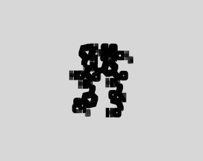 COc1cccc(CNC[C@@H](O)[C@H](Cc2ccccc2)NC(=O)c2cc(C(=O)NCc3nc(CO)co3)cc(N(C)S(C)(=O)=O)c2)c1